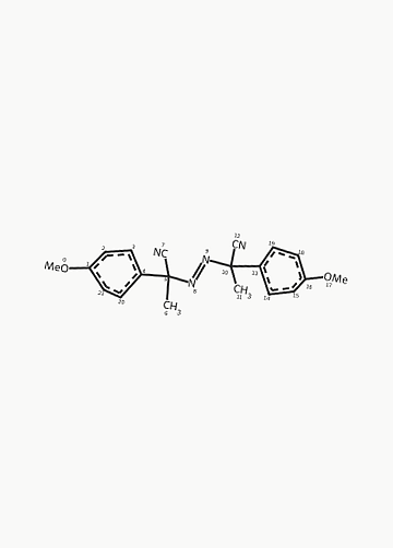 COc1ccc(C(C)(C#N)N=NC(C)(C#N)c2ccc(OC)cc2)cc1